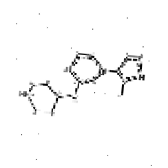 Cn1nccc1-c1ccnc(OC2CCNCC2)c1